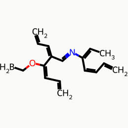 BCOC(=C/C=C)/C(=C\C=C)/C=N/C(/C=C\C=C)=C/C